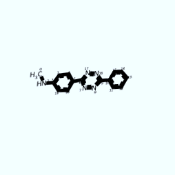 CNc1ccc(-c2nnc(-c3ccccc3)nn2)cc1